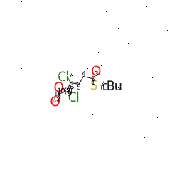 CC(C)(C)SC(=O)CC=C(Cl)[C@@]1(Cl)OC1=O